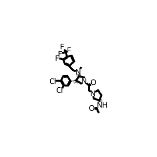 CC(=O)N[C@H]1CCN(CC(=O)N2C[C@H](c3ccc(Cl)c(Cl)c3)[C@H](N(C)Cc3ccc(C(F)(F)F)c(F)c3)C2)C1